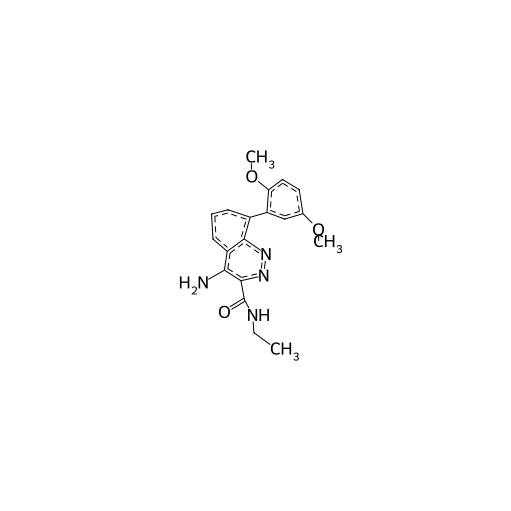 CCNC(=O)c1nnc2c(-c3cc(OC)ccc3OC)cccc2c1N